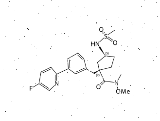 CON(C)C(=O)[C@@]1(Cc2cccc(-c3ccc(F)cn3)c2)CC[C@H](NS(C)(=O)=O)C1